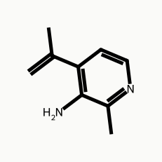 C=C(C)c1ccnc(C)c1N